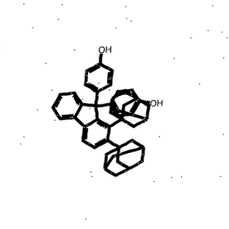 Oc1ccc(C2(c3ccc(O)cc3)c3ccccc3-c3ccc(C45CC6CC(CC(C6)C4)C5)c(C45CC6CC(CC(C6)C4)C5)c32)cc1